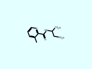 Cc1cccnc1C(=O)NC(CS(=O)(=O)O)C(=O)O